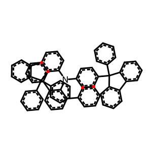 c1ccc(-c2cccc(-c3ccccc3)c2N(c2ccc(C3(c4ccccc4)c4ccccc4-c4ccccc43)cc2)c2cccc3c2C(c2ccccc2)(c2ccccc2)c2ccccc2-3)cc1